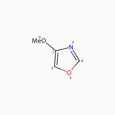 COc1co[c]n1